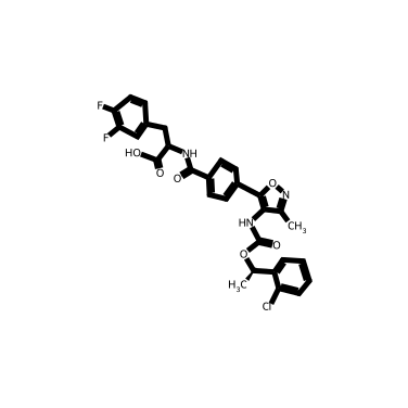 Cc1noc(-c2ccc(C(=O)NC(Cc3ccc(F)c(F)c3)C(=O)O)cc2)c1NC(=O)O[C@H](C)c1ccccc1Cl